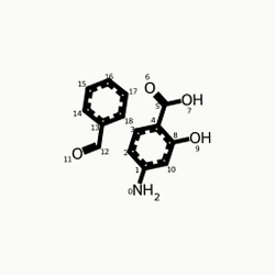 Nc1ccc(C(=O)O)c(O)c1.O=Cc1ccccc1